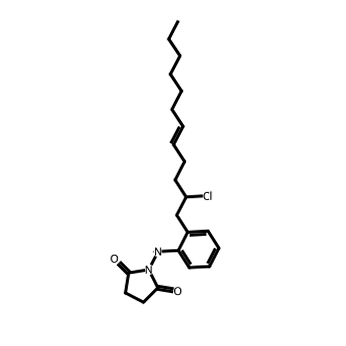 CCCCCCC=CCCC(Cl)Cc1ccccc1[N]N1C(=O)CCC1=O